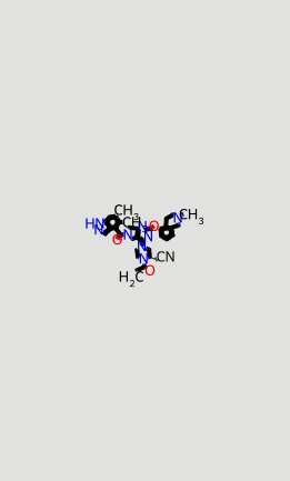 C=CC(=O)N1CCN(c2nc(Oc3cccc4c3CCN(C)C4)nc3c2CN(C(=O)c2c(C)c(C)cc4[nH]ncc24)C3)C[C@@H]1CC#N